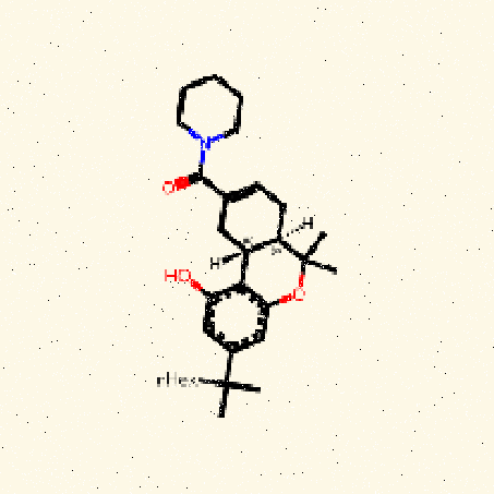 CCCCCCC(C)(C)c1cc(O)c2c(c1)OC(C)(C)[C@@H]1CC=C(C(=O)N3CCCCC3)C[C@@H]21